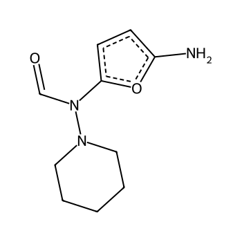 Nc1ccc(N(C=O)N2CCCCC2)o1